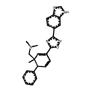 CN(C)CC1(C)C=C(c2nc(-c3ccc4nc[nH]c4c3)no2)C=CC1c1ccccc1